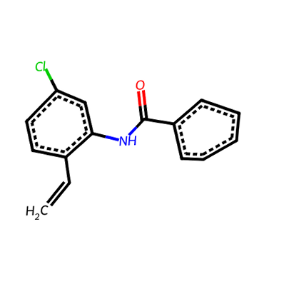 C=Cc1ccc(Cl)cc1NC(=O)c1ccccc1